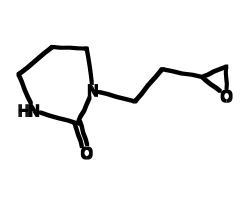 O=C1NCCCN1CCC1CO1